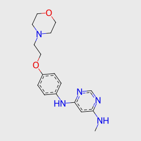 CNc1cc(Nc2ccc(OCCN3CCOCC3)cc2)ncn1